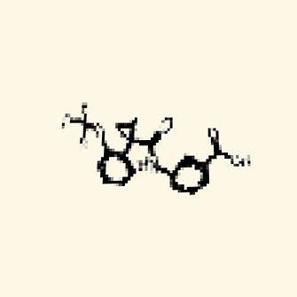 O=C(O)c1cccc(NC(=O)C2(c3ccccc3OC(F)(F)F)CC2)c1